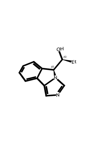 CC[C@H](O)[C@@H]1c2ccccc2-c2cncn21